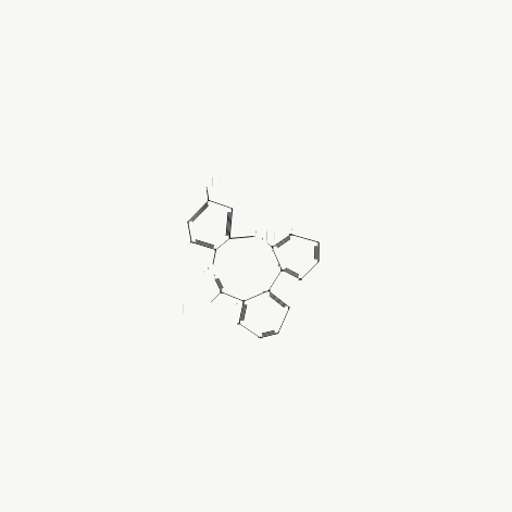 Cc1ccc2nc(C)c3ccccc3c3ccccc3[nH]c2c1